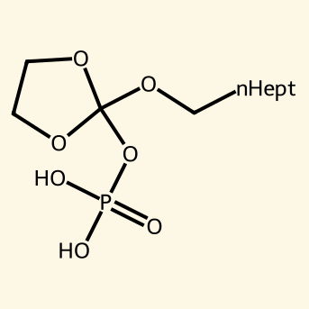 CCCCCCCCOC1(OP(=O)(O)O)OCCO1